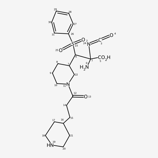 NC(N=C=O)(C(=O)O)C(C1CCCN(C(=O)CCC2CCNCC2)C1)S(=O)(=O)c1ccccc1